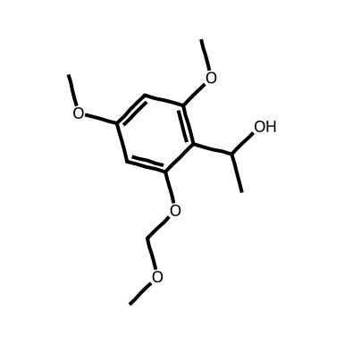 COCOc1cc(OC)cc(OC)c1C(C)O